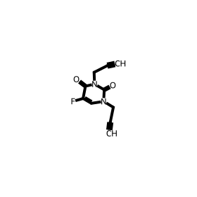 C#CCn1cc(F)c(=O)n(CC#C)c1=O